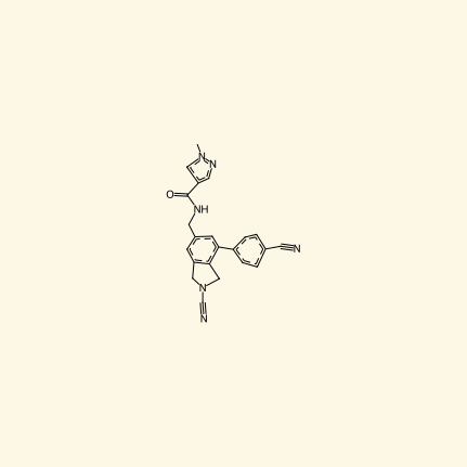 Cn1cc(C(=O)NCc2cc3c(c(-c4ccc(C#N)cc4)c2)CN(C#N)C3)cn1